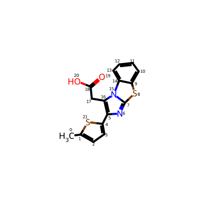 Cc1ccc(-c2nc3sc4ccccc4n3c2CC(=O)O)s1